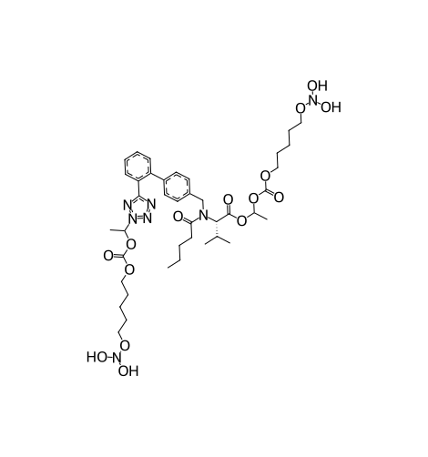 CCCCC(=O)N(Cc1ccc(-c2ccccc2-c2nnn(C(C)OC(=O)OCCCCCON(O)O)n2)cc1)[C@H](C(=O)OC(C)OC(=O)OCCCCCON(O)O)C(C)C